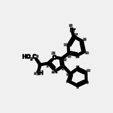 O=C(O)C(S)c1nc(-c2ccccc2)c(-c2cccc(Br)c2)o1